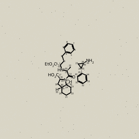 CCOC(=O)[C@H](CCc1ccccc1)N[C@@H](C)C(=O)N1[C@H](C(=O)O)C[C@H]2CCCC[C@@H]21.N[C@@H]1C[C@H]1c1ccccc1